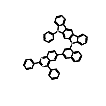 c1ccc(-c2nc(-c3ccccc3)c3cc(-c4cc(-n5c6ccccc6c6cc7c8ccccc8n(-c8ccccc8)c7cc65)c5ccccc5c4)ccc3n2)cc1